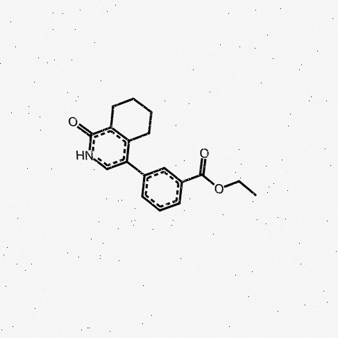 CCOC(=O)c1cccc(-c2c[nH]c(=O)c3c2CCCC3)c1